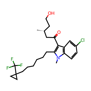 C[C@H](CCO)CC(=O)c1c(CCCCCCC2(C(F)(F)F)CC2)n(C)c2ccc(Cl)cc12